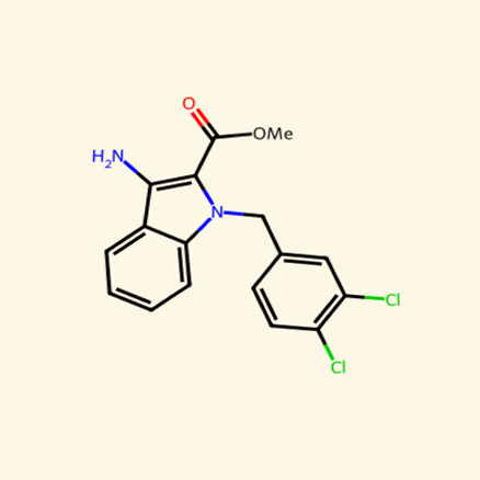 COC(=O)c1c(N)c2ccccc2n1Cc1ccc(Cl)c(Cl)c1